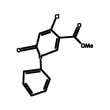 COC(=O)c1cn(-c2ccccc2)c(=O)cc1Cl